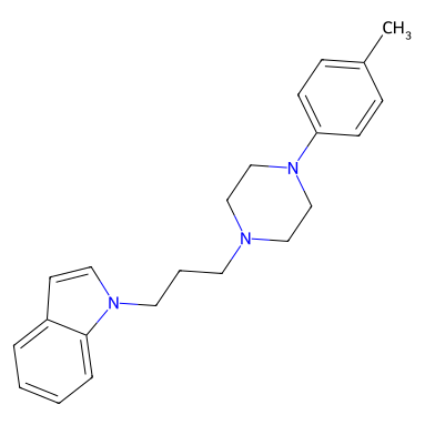 Cc1ccc(N2CCN(CCCn3ccc4ccccc43)CC2)cc1